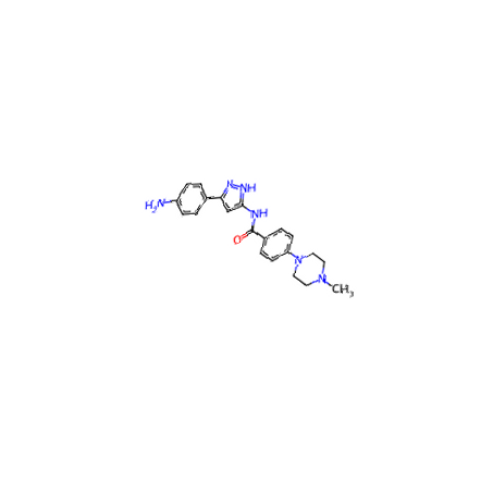 CN1CCN(c2ccc(C(=O)Nc3cc(-c4ccc(N)cc4)n[nH]3)cc2)CC1